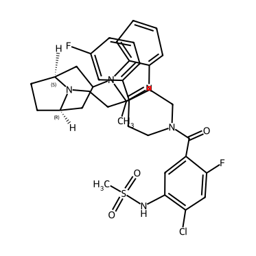 Cc1nc2ccccc2n1C1C[C@H]2CC[C@@H](C1)N2CCC1(c2cccc(F)c2)CCN(C(=O)c2cc(NS(C)(=O)=O)c(Cl)cc2F)CC1